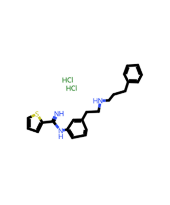 Cl.Cl.N=C(Nc1cccc(CCNCCCc2ccccc2)c1)c1cccs1